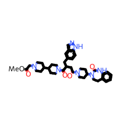 COC(=O)CN1CCC(C2CCN(C(=O)C(CC(=O)N3CCC(N4CCc5ccccc5NC4=O)CC3)Cc3ccc4[nH]ncc4c3)CC2)CC1